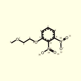 COCCOc1cccc([N+](=O)[O-])c1[N+](=O)[O-]